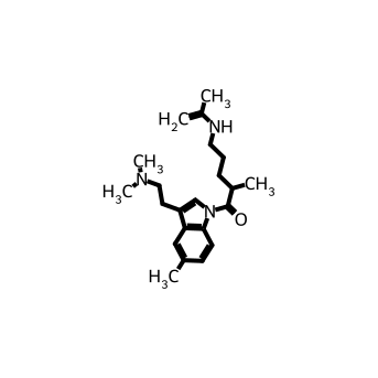 C=C(C)NCCCC(C)C(=O)n1cc(CCN(C)C)c2cc(C)ccc21